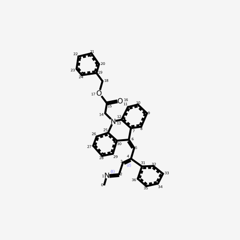 C/N=C/C=C(/C=C1c2ccccc2N(CC(=O)OCc2ccccc2)c2ccccc21)c1ccccc1